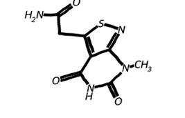 Cn1c(=O)[nH]c(=O)c2c(CC(N)=O)snc21